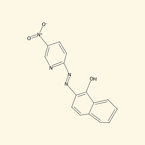 O=[N+]([O-])c1ccc(N=Nc2ccc3ccccc3c2O)nc1